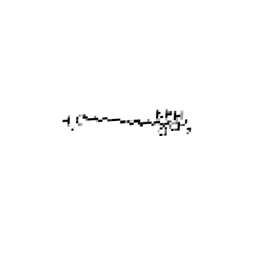 C=C(C)C(=O)C(N)CCCCCCCCCCCCCCC